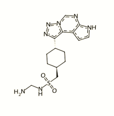 NCNS(=O)(=O)C[C@H]1CC[C@H](c2nnn3cnc4[nH]ccc4c23)CC1